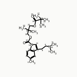 Cc1ccc2c(c1)c(CCN(C)C)cn2C(=O)OCC(C)(C)COC(=O)C(C)(C)C